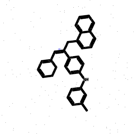 Cc1cccc(Nc2ccc(/C(=C\C3=CC=CCC3)Cc3cccc4ccccc34)cc2)c1